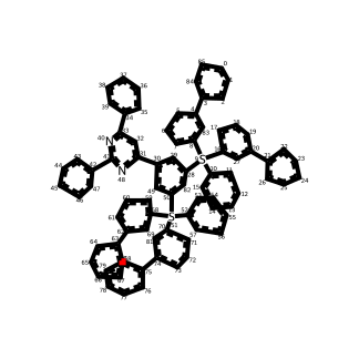 c1ccc(-c2cccc(S(c3ccccc3)(c3cccc(-c4ccccc4)c3)c3cc(-c4cc(-c5ccccc5)nc(-c5ccccc5)n4)cc(S(c4ccccc4)(c4cccc(-c5ccccc5)c4)c4cccc(-c5ccccc5)c4)c3)c2)cc1